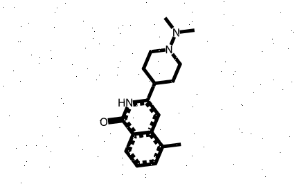 Cc1cccc2c(=O)[nH]c(C3CCN(N(C)C)CC3)cc12